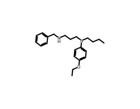 CCCCN(CCCNCc1ccccc1)c1ccc(OCC)cc1